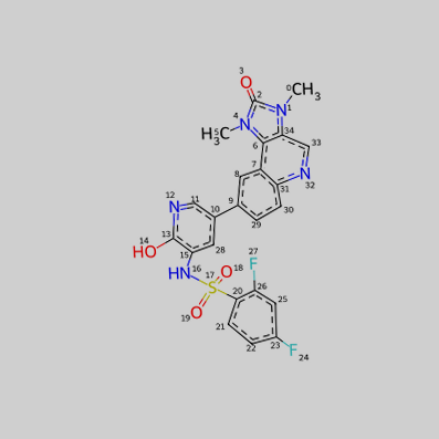 Cn1c(=O)n(C)c2c3cc(-c4cnc(O)c(NS(=O)(=O)c5ccc(F)cc5F)c4)ccc3ncc21